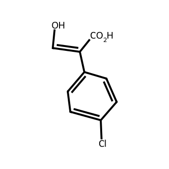 O=C(O)C(=CO)c1ccc(Cl)cc1